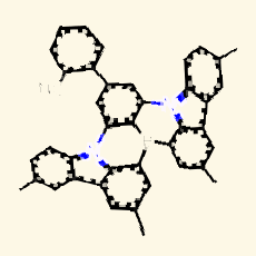 Cc1ccc2c(c1)c1cc(C)cc3c1n2-c1cc(-c2ccccc2C#N)cc2c1B3c1cc(C)cc3c4cc(C)ccc4n-2c13